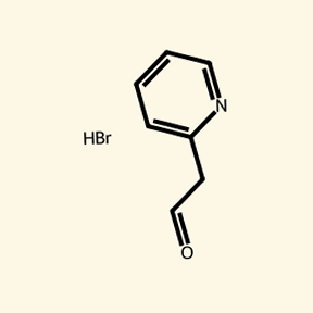 Br.O=CCc1ccccn1